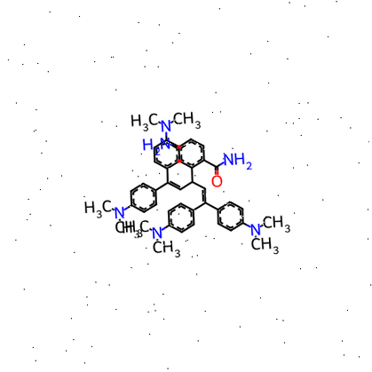 CN(C)c1ccc(C(=CC(C=C(c2ccc(N(C)C)cc2)c2ccc(N(C)C)cc2)c2cc(N)ccc2C(N)=O)c2ccc(N(C)C)cc2)cc1